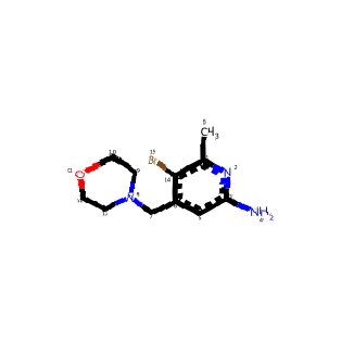 Cc1nc(N)cc(CN2CCOCC2)c1Br